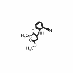 COC(=O)CC(Nc1ccccc1C#N)C(=O)OC